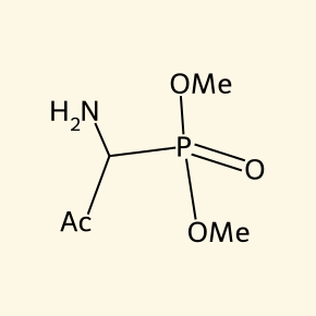 COP(=O)(OC)C(N)C(C)=O